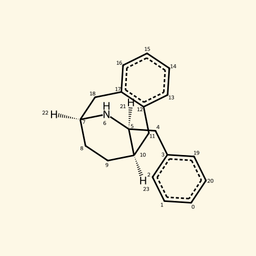 c1ccc(C[C@@H]2N[C@H]3CC[C@@H]2Cc2ccccc2C3)cc1